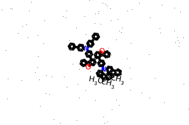 CC1(C)c2ccccc2-c2ccc(N(c3ccc(-c4c(-c5ccc6oc7ccccc7c6c5-c5ccc(N(c6ccc(-c7ccccc7)cc6)c6ccc(-c7ccccc7)cc6)cc5)ccc5oc6ccccc6c45)cc3)c3cccc4c3-c3ccccc3C4(C)C)cc21